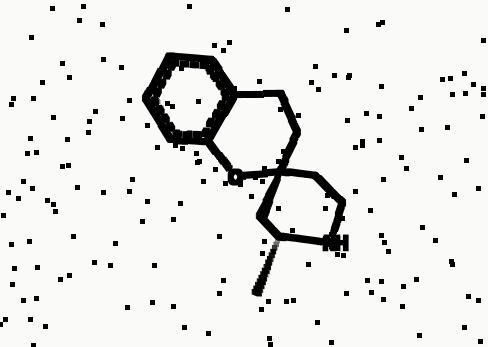 C[C@@H]1C[C@]2(CCN1)CCc1ccccc1O2